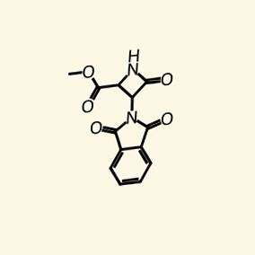 COC(=O)C1NC(=O)C1N1C(=O)c2ccccc2C1=O